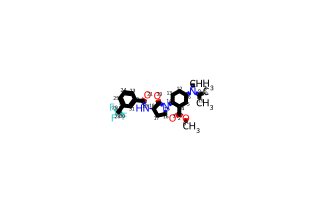 COC(=O)C1CC(N(C)C(C)C)CCC1N1CC[C@H](NC(=O)c2cccc(C(F)(F)F)c2)C1=O